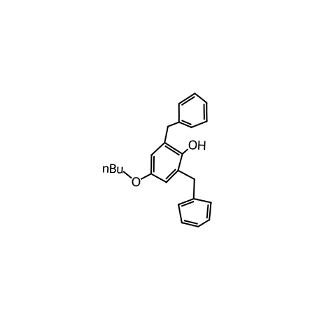 CCCCOc1cc(Cc2ccccc2)c(O)c(Cc2ccccc2)c1